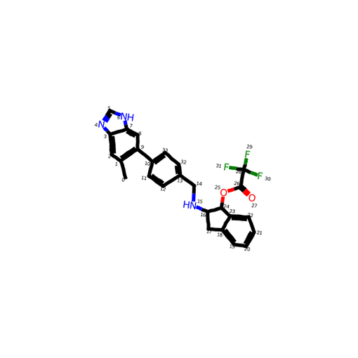 Cc1cc2nc[nH]c2cc1-c1ccc(CNC2Cc3ccccc3C2OC(=O)C(F)(F)F)cc1